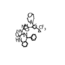 O=C1Nc2ccccc2C(c2ccccc2)=N[C@@H]1Nc1nnc(-c2cc(C3(C(F)(F)F)CC3)sc2N2CCOCC2)o1